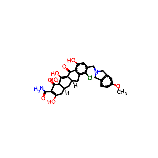 COc1ccc2c(c1)CN(Cc1cc(O)c3c(c1Cl)C[C@H]1C[C@H]4CC(O)=C(C(N)=O)C(=O)[C@@]4(O)C(O)=C1C3=O)C2